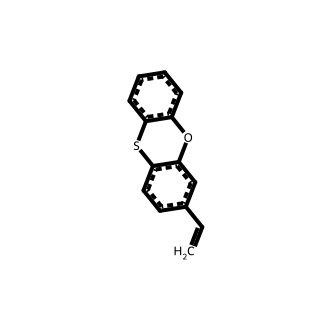 C=Cc1ccc2c(c1)Oc1ccccc1S2